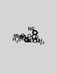 CC1(C)Oc2ccc(C#N)cc2[C@H](Oc2ncccc2CO[Si](C)(C)C(C)(C)C)[C@H]1O